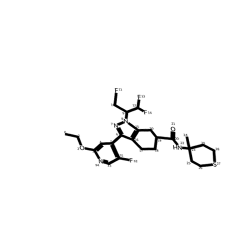 CCOc1cc(-c2nn(C(CF)C(F)F)c3c2CCC(C(=O)NC2(C)CCSCC2)C3)c(F)cn1